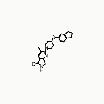 Cc1cc2c(nc1N1CCC(Oc3ccc4c(c3)CCC4)CC1)CNC2=O